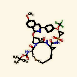 COc1ccc2c(OC3C[C@H]4C(=O)N[C@]5(C(=O)NS(=O)(=O)C6CC6)CC5/C=C\CCCSC[C@H](NC(=O)OC(C)(C)C)C(=O)N4C3)nc(-c3ccc(OC(F)(F)F)cc3)cc2c1